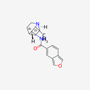 C[C@H]1[C@H](NC(=O)c2ccc3cocc3c2)C2CCN1CC2